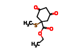 CCOC(=O)C1(SC)CC(=O)CC(=O)C1